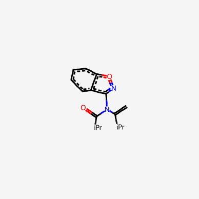 C=C(C(C)C)N(C(=O)C(C)C)c1noc2ccccc12